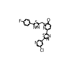 O=c1ccc(-c2nnc(-c3cncc(Cl)c3)s2)nn1Cc1nnc(-c2ccc(F)cc2)s1